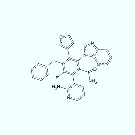 NC(=O)c1c(-c2cccnc2N)c(F)c(Cc2ccccc2)c(-c2ccoc2)c1-n1cnc2cccnc21